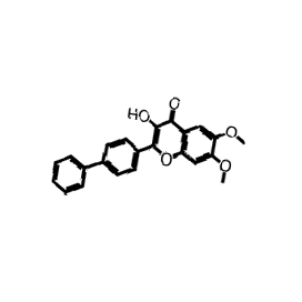 COc1cc2oc(-c3ccc(-c4ccccc4)cc3)c(O)c(=O)c2cc1OC